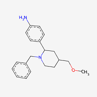 COCC1CCN(Cc2ccccc2)C(c2ccc(N)cc2)C1